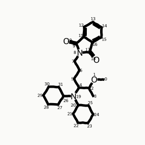 COC(C)C(CCCN1C(=O)c2ccccc2C1=O)N(C1CCCCC1)C1CCCCC1